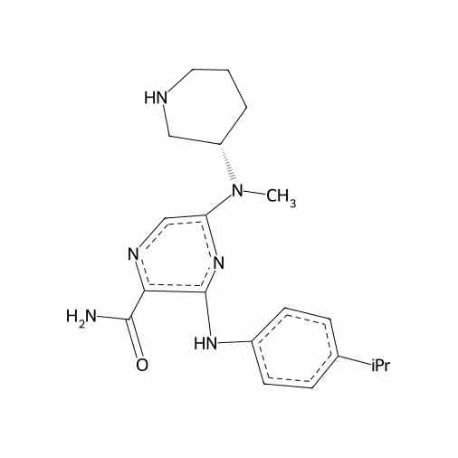 CC(C)c1ccc(Nc2nc(N(C)[C@H]3CCCNC3)cnc2C(N)=O)cc1